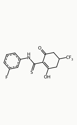 O=C1CC(C(F)(F)F)CC(O)=C1C(=S)Nc1cccc(F)c1